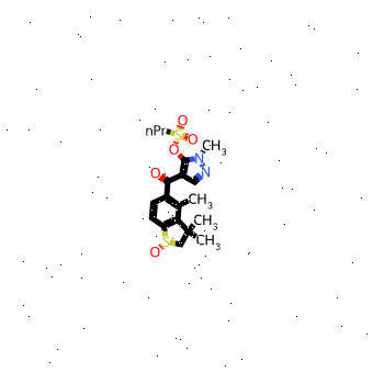 CCCS(=O)(=O)Oc1c(C(=O)c2ccc3c(c2C)C(C)(C)C[S+]3[O-])cnn1C